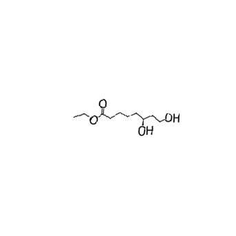 CCOC(=O)CCCC[C@H](O)CCO